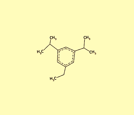 CCc1cc(C(C)C)cc(C(C)C)c1